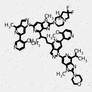 COc1ccncc1-c1cc2c(cnn2-c2cc3c(nc(N4CCN5CC(F)(F)C[C@@H]5C4)n3C)c(C(C)CCc3nc(-c4cnccc4OC)cc4c3cnn4-c3cc4c(nc(N5CCOCC5)n4C)c(C(C)C)n3)n2)c(C)n1